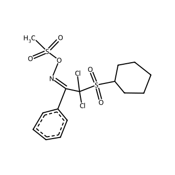 CS(=O)(=O)ON=C(c1ccccc1)C(Cl)(Cl)S(=O)(=O)C1CCCCC1